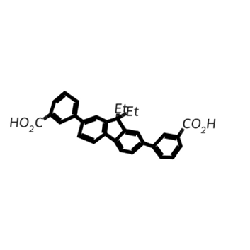 CCC1(CC)c2cc(-c3cccc(C(=O)O)c3)ccc2-c2ccc(-c3cccc(C(=O)O)c3)cc21